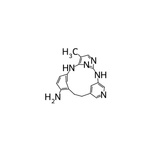 Cc1cnc2nc1Nc1ccc(N)c(c1)CCc1cncc(c1)N2